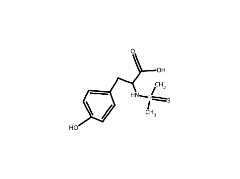 CP(C)(=S)NC(Cc1ccc(O)cc1)C(=O)O